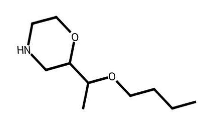 CCCCOC(C)C1CNCCO1